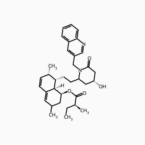 CC[C@H](C)C(=O)O[C@H]1CC(C)C=C2C=C[C@H](C)[C@H](CCC3C[C@@H](O)CC(=O)N3Cc3cnc4ccccc4c3)[C@H]21